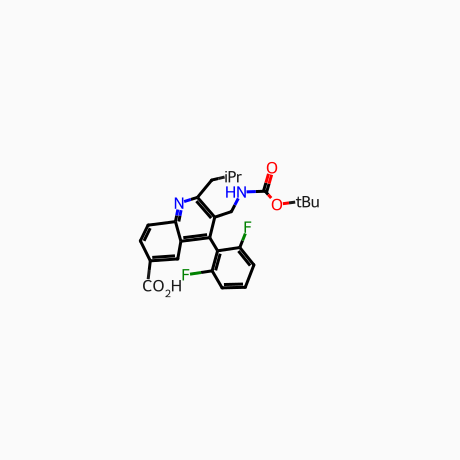 CC(C)Cc1nc2ccc(C(=O)O)cc2c(-c2c(F)cccc2F)c1CNC(=O)OC(C)(C)C